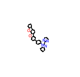 c1cnc(-c2nc3ccccc3n2-c2ccc(-c3ccc4oc5c(ccc6c7ccccc7oc65)c4c3)cc2)nc1